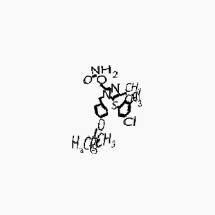 CC(C)c1nc(COC(N)=O)n(Cc2ccc(OCP(C)(C)=O)cc2)c1Sc1cc(Cl)cc(Cl)c1